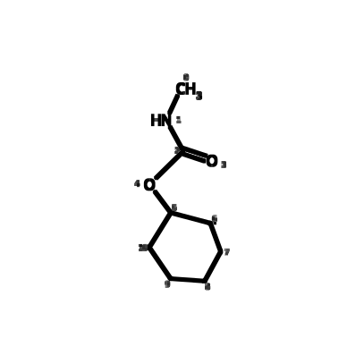 CNC(=O)OC1[CH]CCCC1